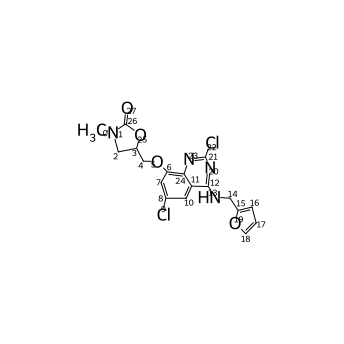 CN1CC(COc2cc(Cl)cc3c(NCc4ccco4)nc(Cl)nc23)OC1=O